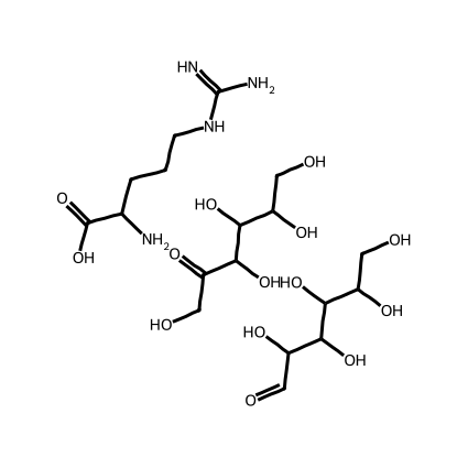 N=C(N)NCCCC(N)C(=O)O.O=C(CO)C(O)C(O)C(O)CO.O=CC(O)C(O)C(O)C(O)CO